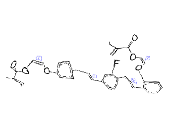 C=C(C)C(=O)O/C=C\Oc1ccc(/C=C/c2ccc(/C=C/c3ccccc3O/C=C\OC(=O)C(=C)C)c(F)c2)cc1